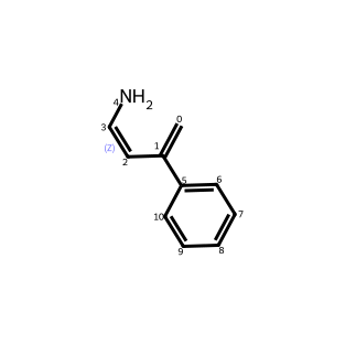 C=C(/C=C\N)c1ccccc1